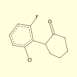 O=C1CCCCC1c1c(F)cccc1Cl